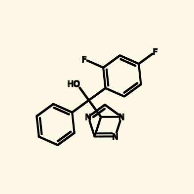 OC(c1ccccc1)(c1ccc(F)cc1F)C1c2ncn1n2